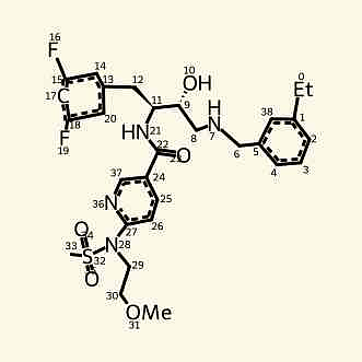 CCc1cccc(CNC[C@@H](O)[C@H](Cc2cc(F)cc(F)c2)NC(=O)c2ccc(N(CCOC)S(C)(=O)=O)nc2)c1